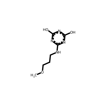 COCCCNc1nc(O)nc(O)n1